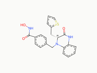 O=C(NO)c1ccc(CN2c3ccccc3NC(=O)[C@H]2Cc2cccs2)cc1